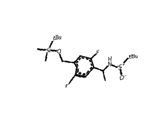 CC(N[S+]([O-])C(C)(C)C)c1cc(F)c(CO[Si](C)(C)C(C)(C)C)cc1F